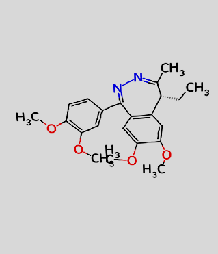 CC[C@H]1C(C)=NN=C(c2ccc(OC)c(OC)c2)c2cc(OC)c(OC)cc21